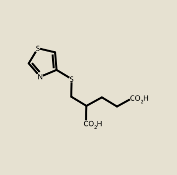 O=C(O)CCC(CSc1cscn1)C(=O)O